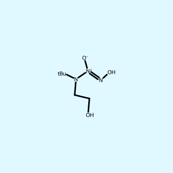 CC(C)(C)N(CCO)[N+]([O-])=NO